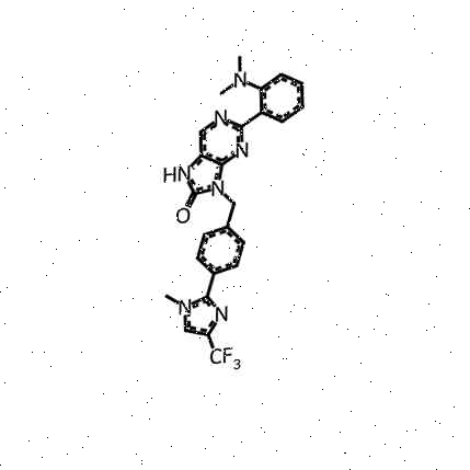 CN(C)c1ccccc1-c1ncc2[nH]c(=O)n(Cc3ccc(-c4nc(C(F)(F)F)cn4C)cc3)c2n1